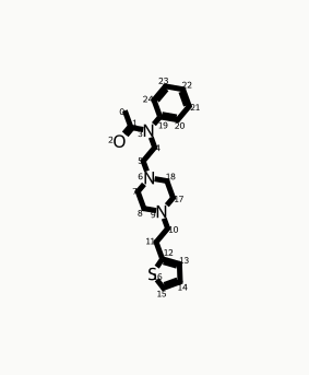 CC(=O)N(CCN1CCN(CCc2cccs2)CC1)c1ccccc1